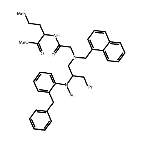 COC(=O)C(CCSC)NC(=O)CN(Cc1cccc2ccccc12)CC(CC(C)C)N(C(C)=O)c1ccccc1Cc1ccccc1